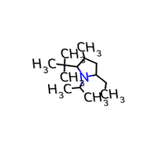 CCC1CC(C)C(C(C)(C)C)N1C(C)C